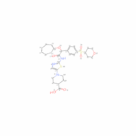 O=C(O)C1CCN(c2cnc(NC(=O)C(OC3CCCCCC3)c3ccc(S(=O)(=O)C4CCOCC4)cc3)s2)CC1